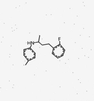 [CH2]c1ccc(NC(C)CCc2ccccc2F)cc1